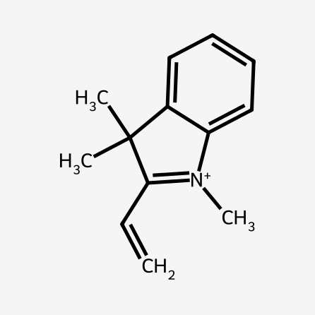 C=CC1=[N+](C)c2ccccc2C1(C)C